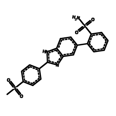 CS(=O)(=O)c1ccc(-c2nc3cc(-c4ccccc4S(N)(=O)=O)ccc3[nH]2)cc1